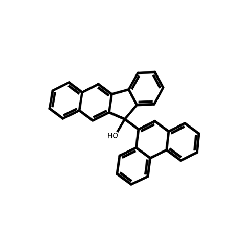 OC1(c2cc3ccccc3c3ccccc23)c2ccccc2-c2cc3ccccc3cc21